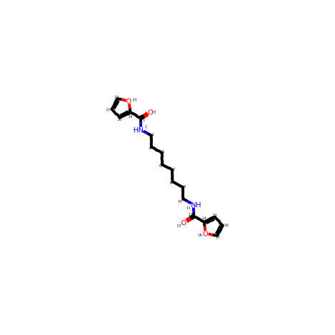 O=C(NCCCCCCCCNC(=O)c1ccco1)c1ccco1